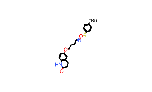 CC(C)(C)c1ccc(SON=CCCCOc2ccc3c(c2)CCC(=O)N3)cc1